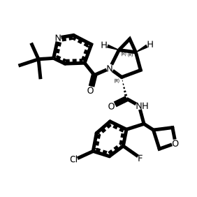 CC(C)(C)c1cc(C(=O)N2[C@@H](C(=O)NC(c3ccc(Cl)cc3F)C3COC3)C[C@H]3C[C@H]32)ccn1